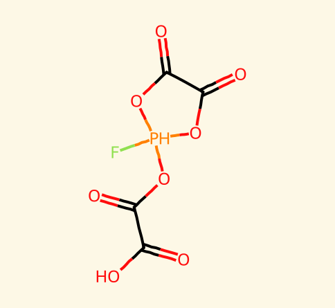 O=C(O)C(=O)O[PH]1(F)OC(=O)C(=O)O1